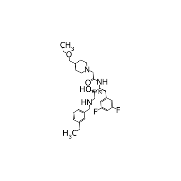 CCOCC1CCN(CC(=O)N[C@@H](Cc2cc(F)cc(F)c2)[C@H](O)CNCc2cccc(CC)c2)CC1